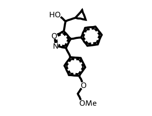 COCOc1ccc(-c2noc(C(O)C3CC3)c2-c2ccccc2)cc1